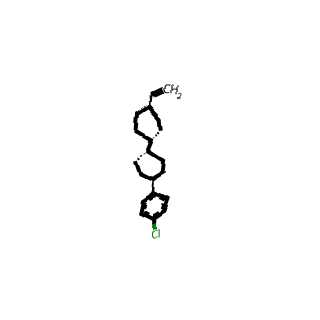 C=C[C@H]1CC[C@H]([C@H]2CC[C@H](c3ccc(Cl)cc3)CC2)CC1